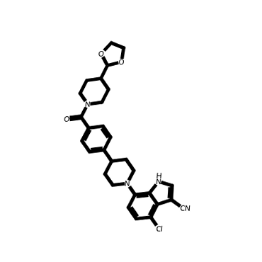 N#Cc1c[nH]c2c(N3CCC(c4ccc(C(=O)N5CCC(C6OCCO6)CC5)cc4)CC3)ccc(Cl)c12